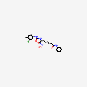 Cc1ccc(NC(=O)N[C@@H](CCCCCC(=O)Nc2ccccc2)C(=O)NO)cc1Cl